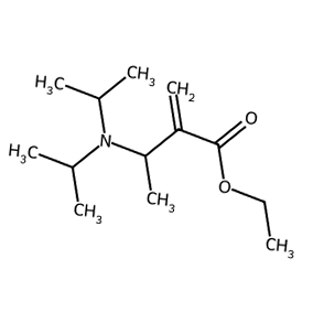 C=C(C(=O)OCC)C(C)N(C(C)C)C(C)C